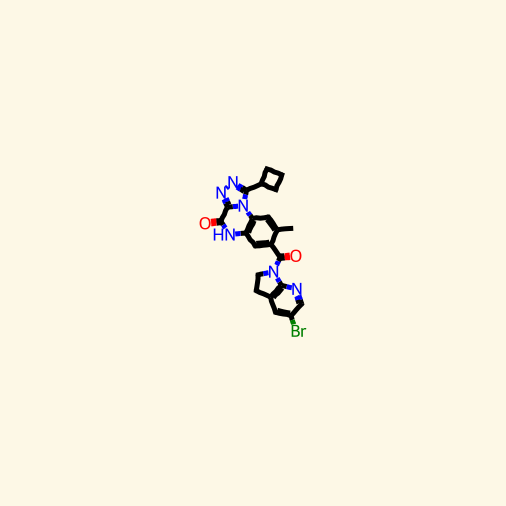 Cc1cc2c(cc1C(=O)N1CCc3cc(Br)cnc31)[nH]c(=O)c1nnc(C3CCC3)n12